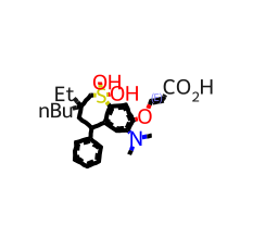 CCCCC1(CC)CC(c2ccccc2)c2cc(N(C)C)c(O/C=C/C(=O)O)cc2S(O)(O)C1